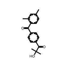 Cc1ccc(C(=O)c2ccc(C(=O)C(C)(C)O)cc2)c(C)c1